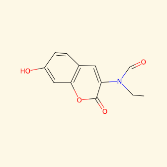 CCN(C=O)c1cc2ccc(O)cc2oc1=O